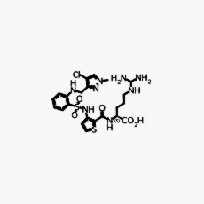 Cn1cc(Cl)c(CNc2ccccc2S(=O)(=O)Nc2ccsc2C(=O)N[C@@H](CCCNC(N)N)C(=O)O)n1